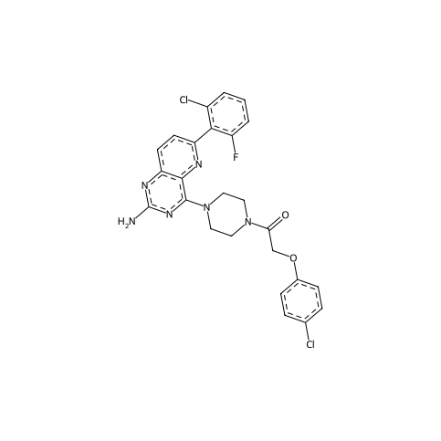 Nc1nc(N2CCN(C(=O)COc3ccc(Cl)cc3)CC2)c2nc(-c3c(F)cccc3Cl)ccc2n1